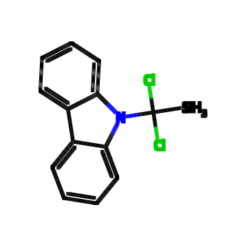 [SiH3]C(Cl)(Cl)n1c2ccccc2c2ccccc21